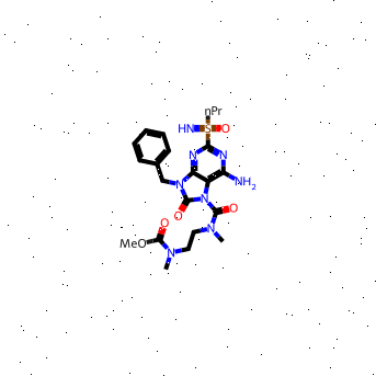 CCCS(=N)(=O)c1nc(N)c2c(n1)n(Cc1ccccc1)c(=O)n2C(=O)N(C)CCN(C)C(=O)OC